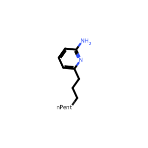 CCCCCCCCc1cccc(N)n1